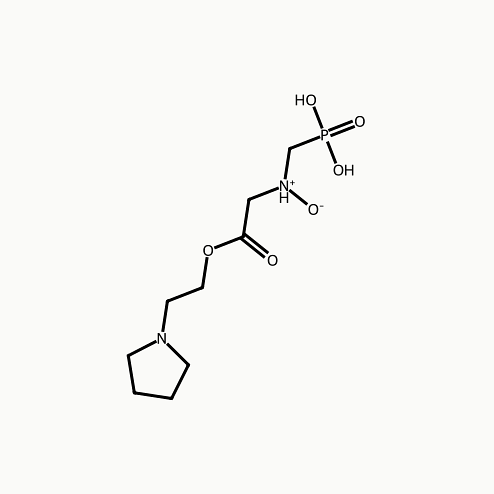 O=C(C[NH+]([O-])CP(=O)(O)O)OCCN1CCCC1